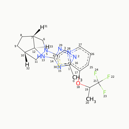 Cc1ncc(N2C[C@H]3CC[C@@H](C2)[C@@H]3Nc2nc3c(OC(C)C(F)(F)F)cccn3n2)s1